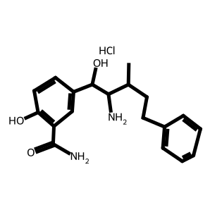 CC(CCc1ccccc1)C(N)C(O)c1ccc(O)c(C(N)=O)c1.Cl